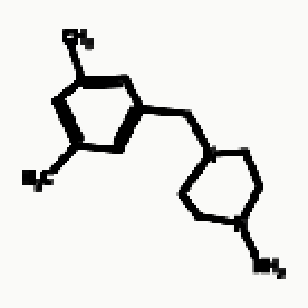 Cc1cc(C)cc(CN2CCN(N)CC2)c1